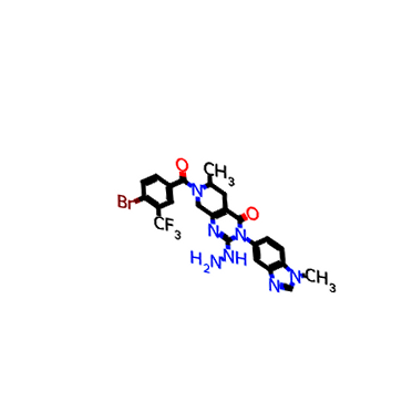 CC1Cc2c(nc(NN)n(-c3ccc4c(c3)ncn4C)c2=O)CN1C(=O)c1ccc(Br)c(C(F)(F)F)c1